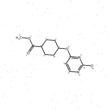 COC(=O)C1CCC(Oc2ccnc(Cl)n2)CC1